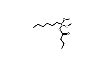 CCCCCC[Si](OC)(OC)OC(=O)CCC